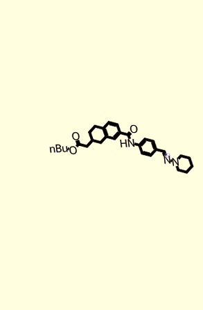 CCCCOC(=O)CC1CCc2ccc(C(=O)Nc3ccc(/C=N/N4CCCCC4)cc3)cc2C1